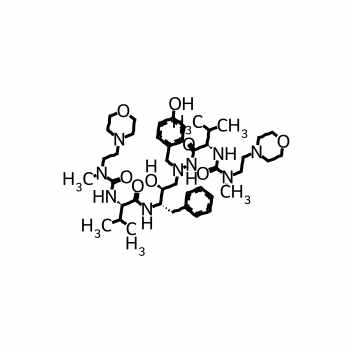 CC(C)[C@H](NC(=O)N(C)CCN1CCOCC1)C(=O)N[C@@H](Cc1ccccc1)[C@@H](O)CN(Cc1ccc(O)cc1)NC(=O)[C@@H](NC(=O)N(C)CCN1CCOCC1)C(C)C